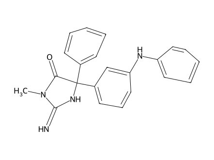 CN1C(=N)NC(c2ccccc2)(c2cccc(Nc3ccccc3)c2)C1=O